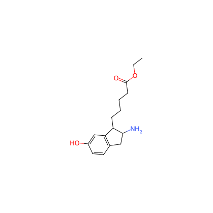 CCOC(=O)CCCCC1c2cc(O)ccc2CC1N